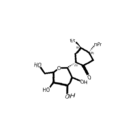 CCC[C@@H]1CC(=O)[C@H](C2OC(CO)C(O)C(O)C2O)C[C@H]1CC